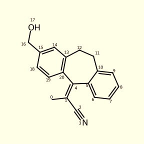 CC(C#N)=C1c2ccccc2CCc2cc(CO)ccc21